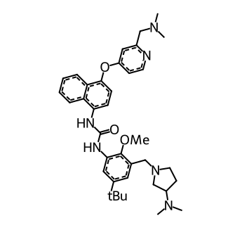 COc1c(CN2CCC(N(C)C)C2)cc(C(C)(C)C)cc1NC(=O)Nc1ccc(Oc2ccnc(CN(C)C)c2)c2ccccc12